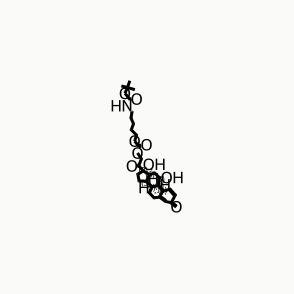 CC(C)(C)OC(=O)NCCCCCOC(=O)OCC(=O)[C@@]1(O)CC[C@H]2[C@@H]3CCC4=CC(=O)C=C[C@]4(C)[C@H]3[C@@H](O)C[C@@]21C